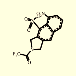 O=C(N1Cc2cc3cccc([N+](=O)[O-])c3c(S(=O)(=O)Cl)c2C1)C(F)(F)F